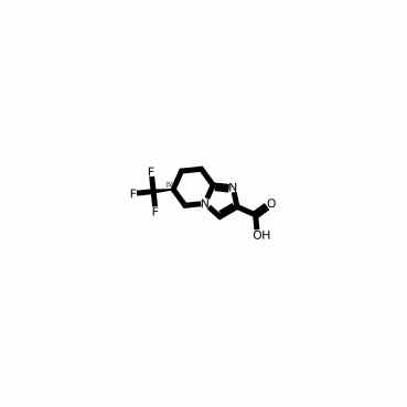 O=C(O)c1cn2c(n1)CC[C@H](C(F)(F)F)C2